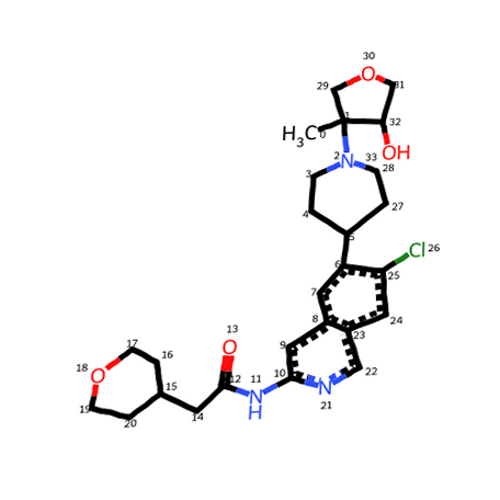 CC1(N2CCC(c3cc4cc(NC(=O)CC5CCOCC5)ncc4cc3Cl)CC2)COCC1O